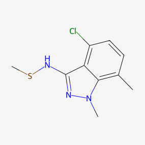 CSNc1nn(C)c2c(C)ccc(Cl)c12